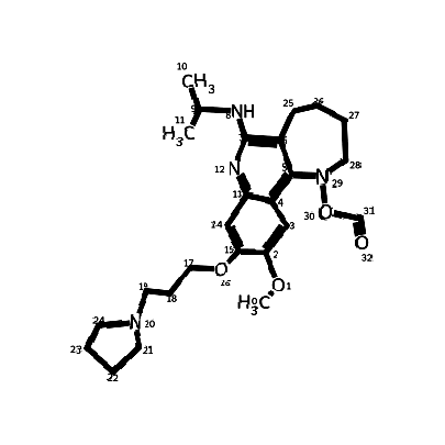 COc1cc2c3c(c(NC(C)C)nc2cc1OCCCN1CCCC1)CCCCN3OC=O